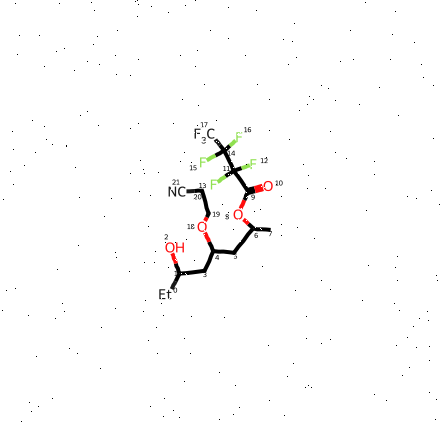 CCC(O)CC(CC(C)OC(=O)C(F)(F)C(F)(F)C(F)(F)F)OCCC#N